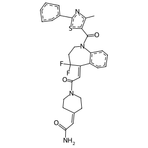 Cc1nc(-c2ccccc2)sc1C(=O)N1CCC(F)(F)C(=CC(=O)N2CCC(=CC(N)=O)CC2)c2ccccc21